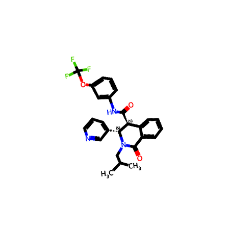 CC(C)CN1C(=O)c2ccccc2[C@H](C(=O)Nc2cccc(OC(F)(F)F)c2)[C@H]1c1cccnc1